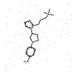 C[Si](C)(C)CCCc1nccn1C1CCN(c2ccc(N)cc2)C1